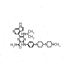 CC(C)Nc1nc(Nc2ccc(N3CCC(N4CCN(C)CC4)CC3)cc2)c(C(N)=O)nc1-c1cncc2[nH]ccc12